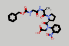 C[C@H](NC(=O)CNC(=O)OCc1ccccc1)C(=O)N1CCC[C@H]1C(=O)N(CC(=O)O)c1ccccc1[N+](=O)[O-]